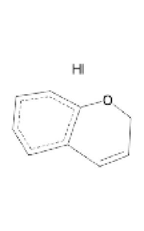 C1=Cc2ccccc2OC1.I